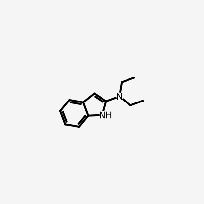 CCN(CC)c1cc2ccccc2[nH]1